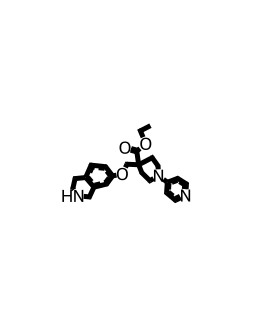 CCOC(=O)C1(COc2ccc3c(c2)CNCC3)CCN(c2ccncc2)CC1